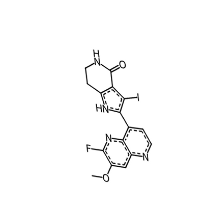 COc1cc2nccc(-c3[nH]c4c(c3I)C(=O)NCC4)c2nc1F